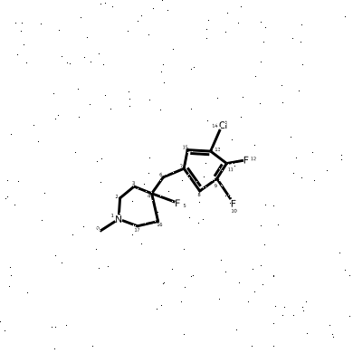 CN1CCC(F)(Cc2cc(F)c(F)c(Cl)c2)CC1